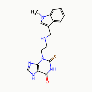 Cn1cc(CNCCn2c(=S)[nH]c(=O)c3[nH]cnc32)c2ccccc21